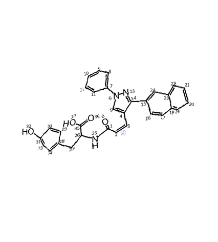 O=C(/C=C\c1cn(-c2ccccc2)nc1-c1ccc2ccccc2c1)NC(Cc1ccc(O)cc1)C(=O)O